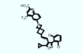 O=C(O)c1cc(C(F)(F)F)c2cc(N3CC4(CC(/C=C/c5c(-c6c(Cl)cccc6Cl)noc5C5CC5)C4)C3)ccc2n1